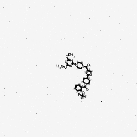 COc1nc(OC)nc(N2CCN(C(=O)c3csc(C4CCN(C(=O)c5ccccc5OC(F)(F)F)CC4)n3)CC2)n1